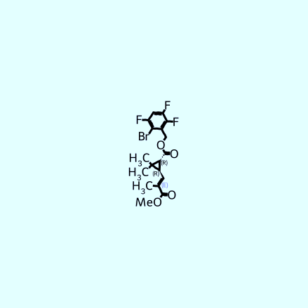 COC(=O)/C(C)=C/[C@@H]1[C@@H](C(=O)OCc2c(F)c(F)cc(F)c2Br)C1(C)C